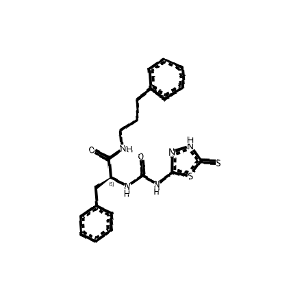 O=C(Nc1n[nH]c(=S)s1)N[C@@H](Cc1ccccc1)C(=O)NCCCc1ccccc1